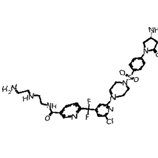 NCCNCCNC(=O)c1ccc(C(F)(F)c2cc(Cl)nc(N3CCN(S(=O)(=O)c4ccc(N5C[C@H](N)CC5=O)cc4)CC3)c2)nc1